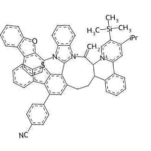 C=C1C2C(CCc3cc(-c4ccc(C#N)cc4)c4c(sc5ccccc54)c3-c3n(-c4cccc5c4oc4ccccc45)c4ccccc4[n+]31)c1ccccc1-c1cc(C(C)C)c([Si](C)(C)C)c[n+]12